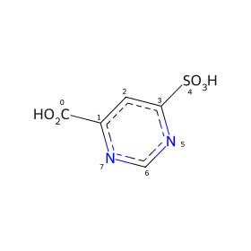 O=C(O)c1cc(S(=O)(=O)O)ncn1